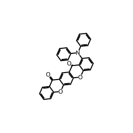 O=c1c2ccccc2oc2cc3oc4cccc(N(c5ccccc5)c5ccccc5)c4c(=O)c3cc12